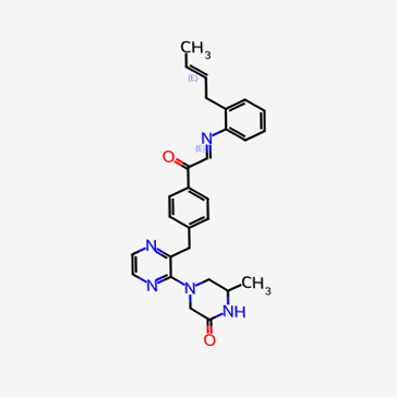 C/C=C/Cc1ccccc1/N=C/C(=O)c1ccc(Cc2nccnc2N2CC(=O)NC(C)C2)cc1